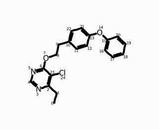 CCc1ncnc(OCCc2ccc(Oc3ccccc3)cc2)c1Cl